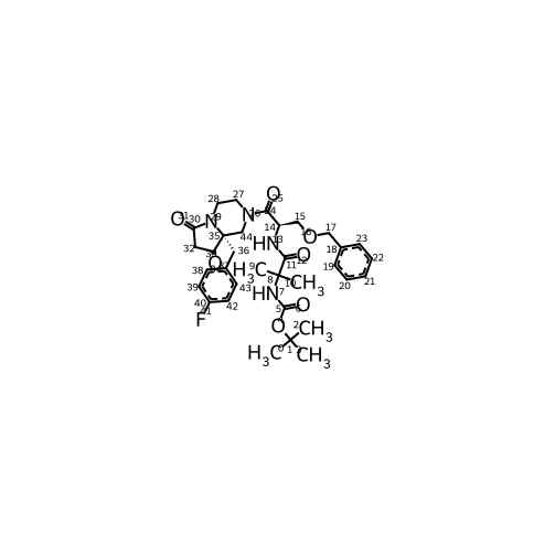 CC(C)(C)OC(=O)NC(C)(C)C(=O)N[C@H](COCc1ccccc1)C(=O)N1CCN2C(=O)CC(=O)[C@]2(Cc2ccc(F)cc2)C1